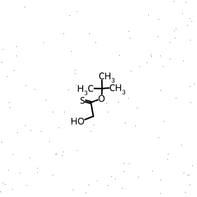 CC(C)(C)OC(=S)CO